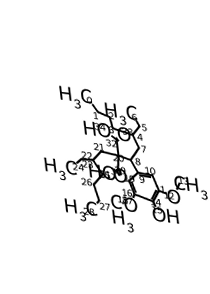 CCCCC(CC)CC(c1cc(OC)c(O)c(OC)c1)C(CC(CC)CCCC)(C(=O)O)C(=O)O